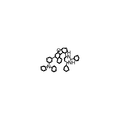 C1=CC(c2ccccc2)NC(c2ccccc2)NC=1c1cccc2oc3cc(-c4cccc(N(c5ccccc5)c5ccccc5)c4)c4ccccc4c3c12